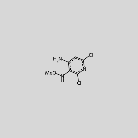 CONc1c(N)cc(Cl)nc1Cl